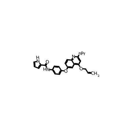 C=CCOc1cc(CCC)nc2ccc(Oc3ccc(NC(=O)c4ccc[nH]4)cc3)cc12